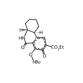 CCCCOc1c2n(cc(C(=O)OCC)c1=O)[C@@H]1CCCC[C@H]1NC2=O